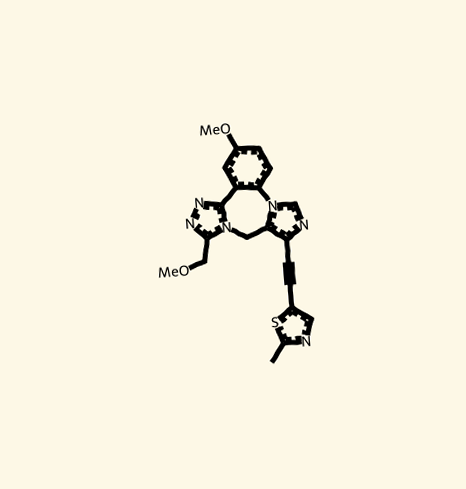 COCc1nnc2n1Cc1c(C#Cc3cnc(C)s3)ncn1-c1ccc(OC)cc1-2